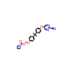 CC(C)(c1ccc(OCOC(=O)N2CCC2)cc1)c1ccc(Oc2cnc(C#N)nc2)cc1